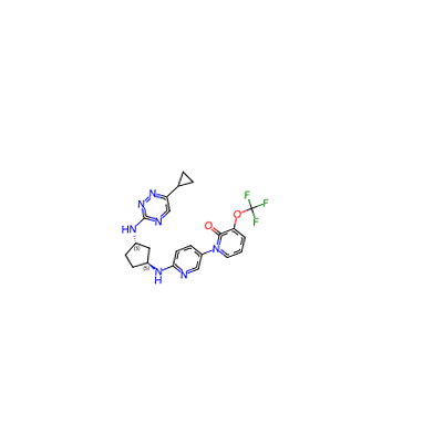 O=c1c(OC(F)(F)F)cccn1-c1ccc(N[C@H]2CC[C@H](Nc3ncc(C4CC4)nn3)C2)nc1